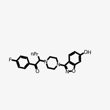 CCCC(C(=O)c1ccc(F)cc1)N1CCN(c2noc3cc(O)ccc23)CC1